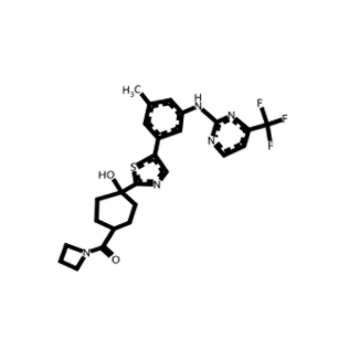 Cc1cc(Nc2nccc(C(F)(F)F)n2)cc(-c2cnc(C3(O)CCC(C(=O)N4CCC4)CC3)s2)c1